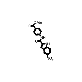 COC(=O)c1ccc(NC(=O)c2cc3cc([N+](=O)[O-])ccc3[nH]2)cc1